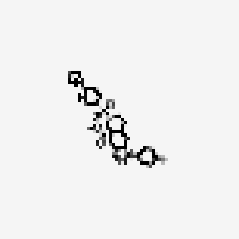 COC(=O)[C@]12Cc3cnn(-c4ccc(F)cc4)c3C=C1CCN(S(=O)(=O)c1ccc(N3CCC3)nc1)C2